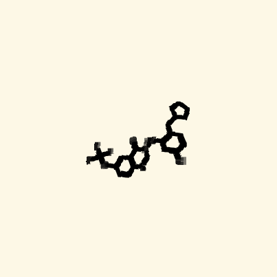 O=c1c2cc(OC(F)(F)F)ccc2ncn1Nc1cc(Cl)ccc1CC1CCCC1